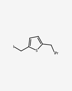 CC(C)Cc1ccc(CI)s1